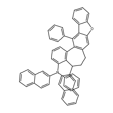 c1ccc(-c2c3c(cc4oc5ccccc5c24)CCC(c2ccc4ccccc4c2)c2c-3cccc2N(c2ccccc2)c2ccc3ccccc3c2)cc1